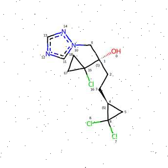 O[C@@](CC[C@H]1CC1(Cl)Cl)(Cn1cncn1)C1(Cl)CC1